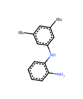 CC(C)(C)c1cc(Nc2ccccc2N)cc(C(C)(C)C)c1